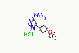 Cl.NCc1cc(-c2ccc(OC(F)(F)F)cc2)ncn1